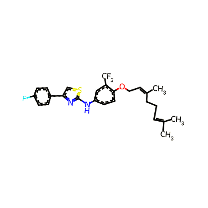 CC(C)=CCCC(C)=CCOc1ccc(Nc2nc(-c3ccc(F)cc3)cs2)cc1C(F)(F)F